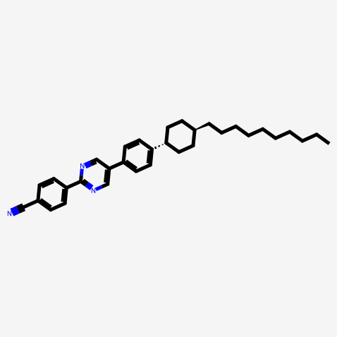 CCCCCCCCCC[C@H]1CC[C@H](c2ccc(-c3cnc(-c4ccc(C#N)cc4)nc3)cc2)CC1